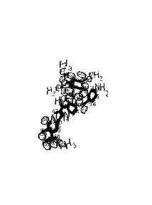 CCc1c2c(nc3ccc(OC(=O)c4ccc(N)cc4O[C@@H]4O[C@H](C(=O)OC)[C@@H](OC(C)=O)[C@H](OC(C)=O)[C@H]4OC(C)=O)cc13)-c1cc3c(c(=O)n1C2)COC(=O)[C@]3(O)CC